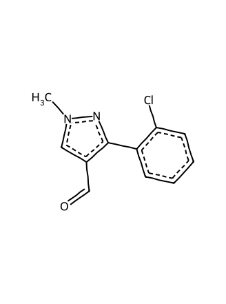 Cn1cc(C=O)c(-c2ccccc2Cl)n1